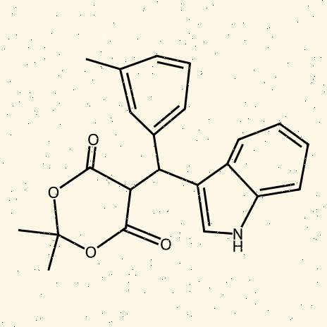 Cc1cccc(C(c2c[nH]c3ccccc23)C2C(=O)OC(C)(C)OC2=O)c1